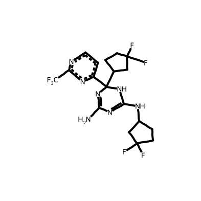 NC1=NC(c2ccnc(C(F)(F)F)n2)(C2CCC(F)(F)C2)NC(NC2CCC(F)(F)C2)=N1